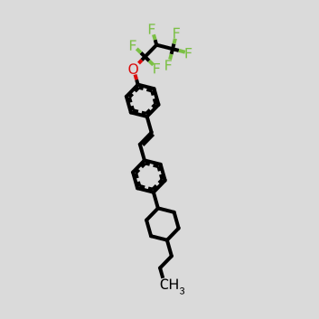 CCCC1CCC(c2ccc(C=Cc3ccc(OC(F)(F)C(F)C(F)(F)F)cc3)cc2)CC1